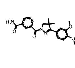 COc1ccc(C2=NN(C(=O)c3cccc(C(N)=O)c3)CC2(C)C)cc1OC